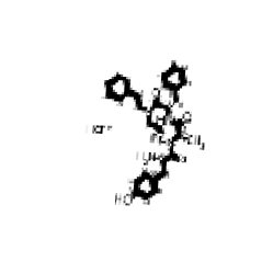 CC(C)CCN(CCc1ccccc1)C(=O)[C@H](Cc1ccccc1)NC(=O)[C@@H](C)NC(=O)[C@@H](N)Cc1ccc(O)cc1.Cl